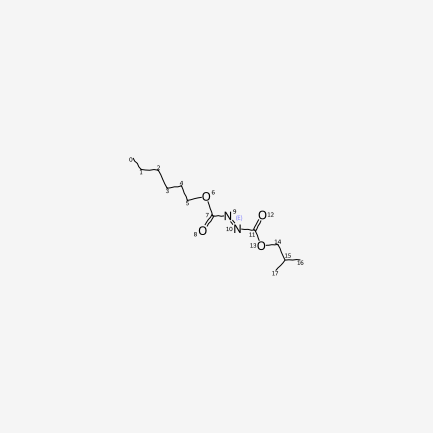 CCCCCCOC(=O)/N=N/C(=O)OCC(C)C